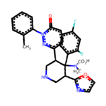 Cc1ccccc1-n1nc(C2CNCC(c3ncco3)C2(c2ccc(F)cc2F)N(C)C(=O)O)ccc1=O